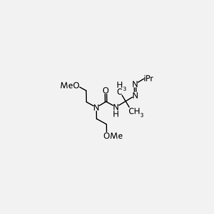 COCCN(CCOC)C(=O)NC(C)(C)N=NC(C)C